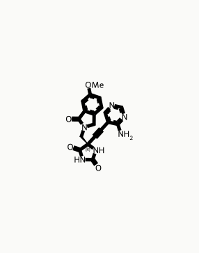 COc1ccc2c(c1)C(=O)N(C[C@@]1(C#Cc3cncnc3N)NC(=O)NC1=O)C2